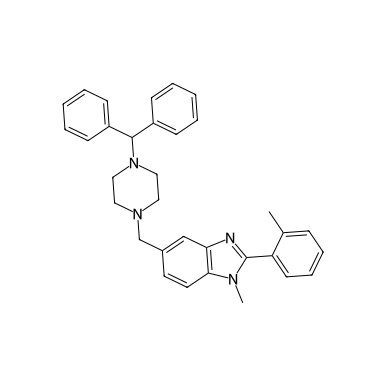 Cc1ccccc1-c1nc2cc(CN3CCN(C(c4ccccc4)c4ccccc4)CC3)ccc2n1C